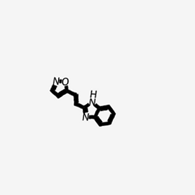 C(=Cc1ccno1)c1nc2ccccc2[nH]1